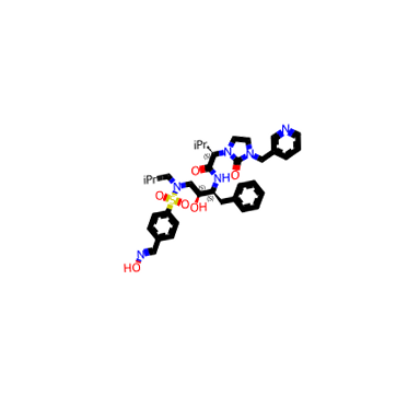 CC(C)CN(C[C@H](O)[C@H](Cc1ccccc1)NC(=O)[C@H](C(C)C)N1CCN(Cc2cccnc2)C1=O)S(=O)(=O)c1ccc(C=NO)cc1